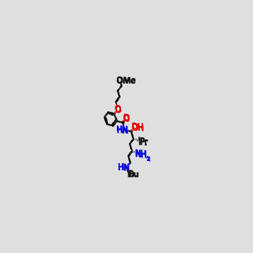 CC[C@H](C)NCC[C@@H](N)C[C@@H](C(C)C)[C@H](O)NC(=O)c1ccccc1OCCCCOC